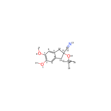 COc1cc2c(cc1OC)CC(C#N)(O[Si](C)(C)C)C2